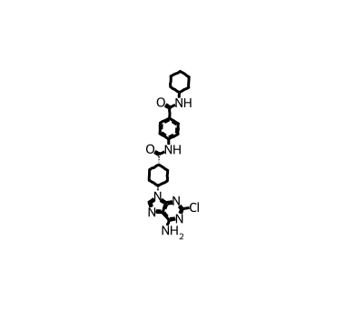 Nc1nc(Cl)nc2c1ncn2[C@H]1CC[C@@H](C(=O)Nc2ccc(C(=O)NC3CCCCC3)cc2)CC1